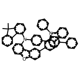 CC1(C)c2ccccc2-c2c(N(c3ccc(-c4ccc(-c5ccccc5)cc4)cc3)c3cccc4oc5ccc(-c6ccc7c8ccccc8n(-c8ccccc8)c7c6)cc5c34)cccc21